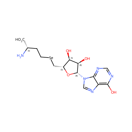 N[C@@H](CC[Se]C[C@H]1O[C@@H](n2cnc3c(O)ncnc32)[C@H](O)[C@@H]1O)C(=O)O